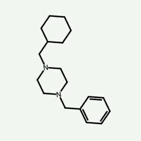 c1ccc(CN2CCN(CC3CCCCC3)CC2)cc1